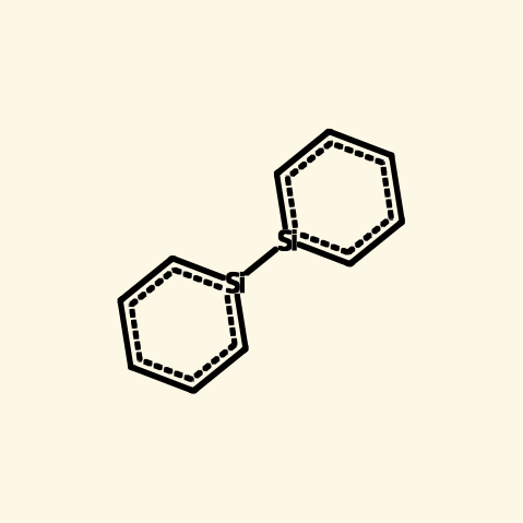 c1cc[si](-[si]2ccccc2)cc1